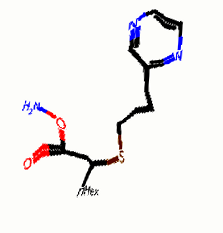 CCCCCCC(SCCc1cnccn1)C(=O)ON